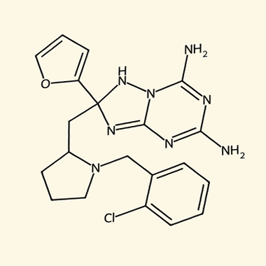 NC1=NC2=NC(CC3CCCN3Cc3ccccc3Cl)(c3ccco3)NN2C(N)=N1